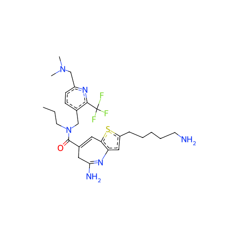 CCCN(Cc1ccc(CN(C)C)nc1C(F)(F)F)C(=O)C1=Cc2sc(CCCCCN)cc2N=C(N)C1